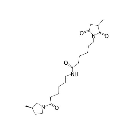 CC1CC(=O)N(CCCCCC(=O)NCCCCCC(=O)N2CC[C@@H](C)C2)C1=O